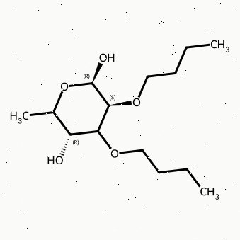 CCCCOC1[C@H](O)C(C)O[C@@H](O)[C@H]1OCCCC